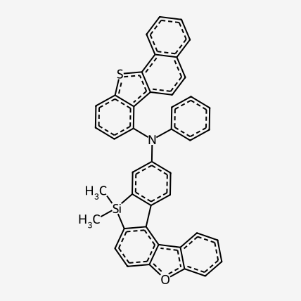 C[Si]1(C)c2cc(N(c3ccccc3)c3cccc4sc5c6ccccc6ccc5c34)ccc2-c2c1ccc1oc3ccccc3c21